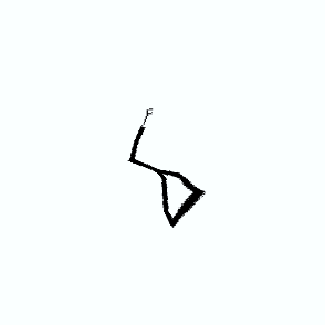 F[CH]C1CC1